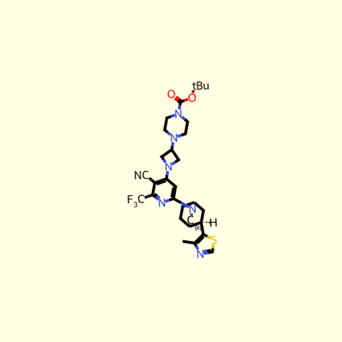 Cc1ncsc1[C@@H]1CC2CCC1CN2c1cc(N2CC(N3CCN(C(=O)OC(C)(C)C)CC3)C2)c(C#N)c(C(F)(F)F)n1